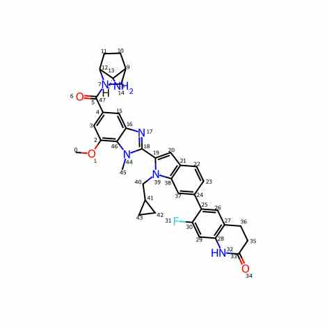 COc1cc(C(=O)N2CC3CCC2[C@@H]3N)cc2nc(-c3cc4ccc(-c5cc6c(cc5F)NC(=O)CC6)cc4n3CC3CC3)n(C)c12